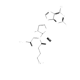 C#C[C@@]1(N(C(=O)CCCCCCCCCCCCC)[C@@H](C)C(=O)OC)O[C@@H](n2cnc3c(N)nc(F)nc32)C[C@@H]1O